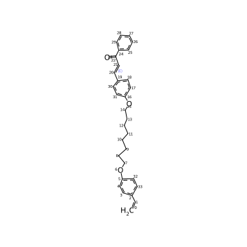 C=Cc1ccc(OCCCCCCCCOc2ccc(/C=C/C(=O)c3ccccc3)cc2)cc1